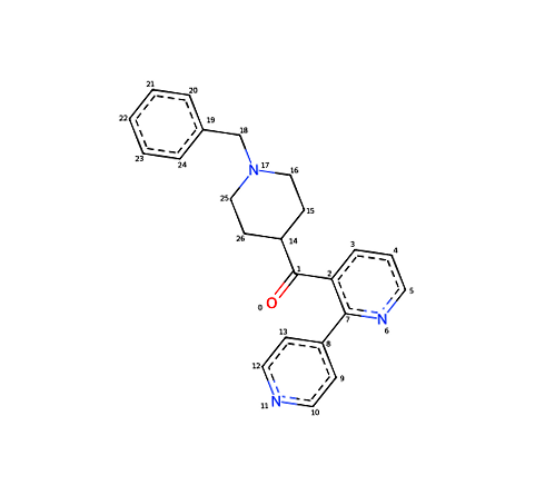 O=C(c1cccnc1-c1ccncc1)C1CCN(Cc2ccccc2)CC1